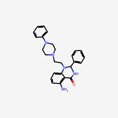 Nc1cccc2c1C(=O)NC(c1ccccc1)N2CCN1CCN(c2ccccc2)CC1